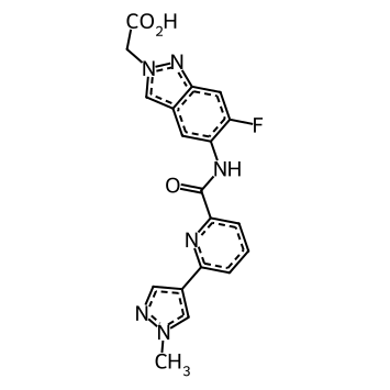 Cn1cc(-c2cccc(C(=O)Nc3cc4cn(CC(=O)O)nc4cc3F)n2)cn1